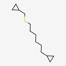 C(CCCC1CC1)CCSCC1CC1